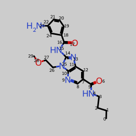 CCCCNC(=O)c1cnc2c(c1)nc(NC(=O)c1cccc(N)c1)n2CCOC